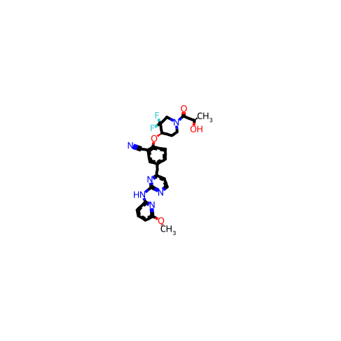 COc1cccc(Nc2nccc(-c3ccc(O[C@@H]4CCN(C(=O)[C@H](C)O)CC4(F)F)c(C#N)c3)n2)n1